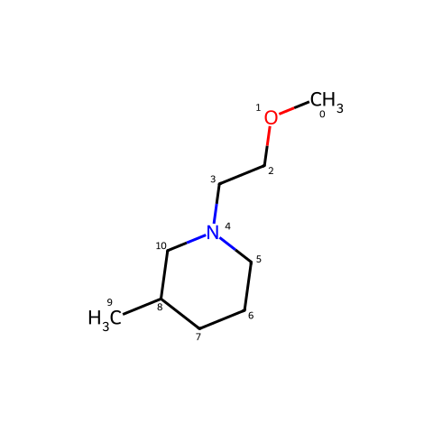 COCCN1CCCC(C)C1